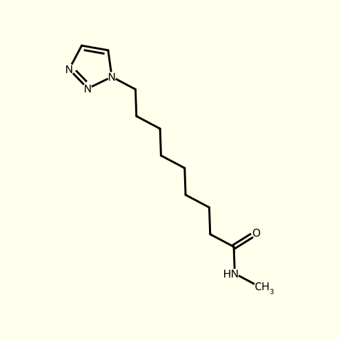 CNC(=O)CCCCCCCCn1ccnn1